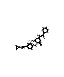 Cc1cc(NC(=O)c2ncccn2)cc(=O)n1Cc1ccc(C#CC2CC2)cc1